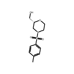 Cc1ccc(S(=O)(=O)N2CCO[C@@H](CO)C2)cc1